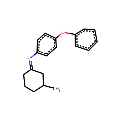 CC1CCCC(=Nc2ccc(Oc3ccccc3)cc2)C1